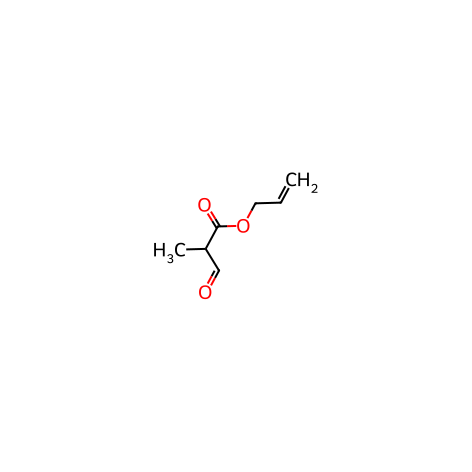 C=CCOC(=O)C(C)C=O